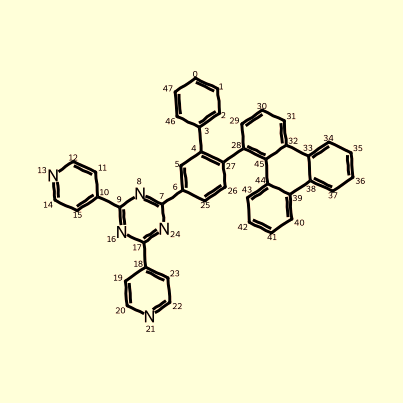 c1ccc(-c2cc(-c3nc(-c4ccncc4)nc(-c4ccncc4)n3)ccc2-c2cccc3c4ccccc4c4ccccc4c23)cc1